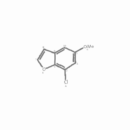 COc1cc(Cl)c2occc2c1